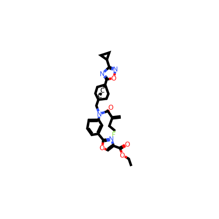 C=C(CCF)C(=O)N(CC12CCC(c3nc(C4CC4)no3)(CC1)CC2)c1cccc(-c2nc(C(=O)OCC)co2)c1